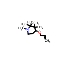 C=CCOC1CCN(C)C(C)(C)C1(C)C